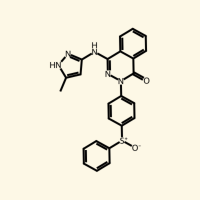 Cc1cc(Nc2nn(-c3ccc([S+]([O-])c4ccccc4)cc3)c(=O)c3ccccc23)n[nH]1